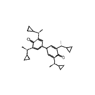 C[C@@H](C1=C=C(C2C=C([C@H](C)C3CC3)C(=O)C([C@H](C)C3CC3)=C2)C=C([C@H](C)C2CC2)C1=O)C1CC1